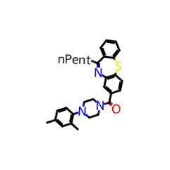 CCCCCC1=Nc2cc(C(=O)N3CCN(c4ccc(C)cc4C)CC3)ccc2Sc2ccccc21